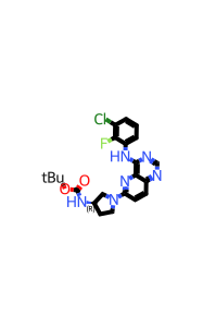 CC(C)(C)OC(=O)N[C@@H]1CCN(c2ccc3ncnc(Nc4cccc(Cl)c4F)c3n2)C1